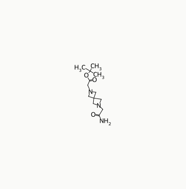 CC(C)(C)OC(=O)CN1CC2(CN(CC(N)=O)C2)C1